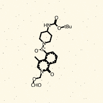 Cc1cn(COC=O)c(=O)c2cccc([S+]([O-])N3CCC(NC(=O)OC(C)(C)C)CC3)c12